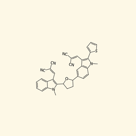 Cn1c(-c2cccs2)c(C=C(C#N)C#N)c2cc(C3CCC(c4c(C=C(C#N)C#N)c5ccccc5n4C)O3)ccc21